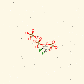 O=S(=O)([O-])[O-].O=S(=O)([O-])[O-].O=S(=O)([O-])[O-].[C+3]F.[C+3]F